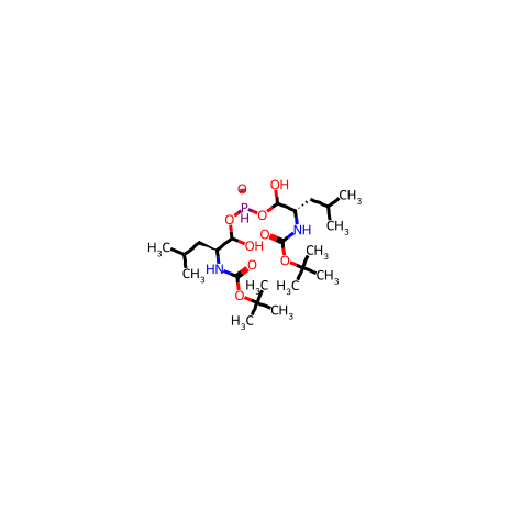 CC(C)C[C@H](NC(=O)OC(C)(C)C)C(O)O[PH](=O)OC(O)[C@H](CC(C)C)NC(=O)OC(C)(C)C